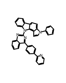 c1ccc(-n2ccc3c2ccc2c4ccccc4n(-c4nc(-c5ccc(-c6ccccn6)cc5)c5ccccc5n4)c23)cc1